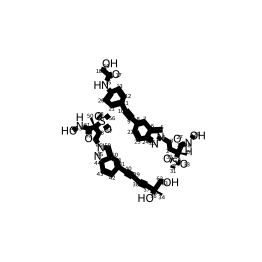 C[C@@](CCn1cc2cc(C#Cc3ccc(NC(=O)CO)cc3)ccc2n1)(C(=O)NO)S(C)(=O)=O.C[C@@](O)(C#CC#Cc1ccc2nn(CC[C@](C)(C(=O)NO)S(C)(=O)=O)cc2c1)CO